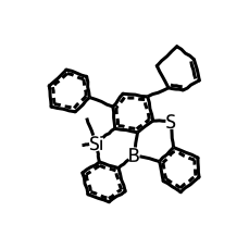 C[Si]1(C)c2ccccc2B2c3ccccc3Sc3c(C4=CC=CCC4)cc(-c4ccccc4)c1c32